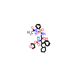 CC(=O)Nc1ccccc1S(=O)(=O)NC[C@H](O)C(NC(=O)O[C@H]1CCOC1)C(CC1CCCCC1)c1ccccc1